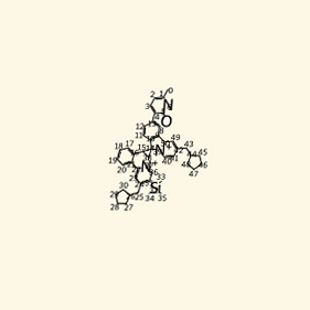 Cc1ccc2c(n1)oc1c3c(ccc12)C1(C2c4ccccc4-c4cc(CC5CCCC5)c([Si](C)(C)C)c[n+]4C21)[n+]1ccc(CC2CCCC2)cc1-3